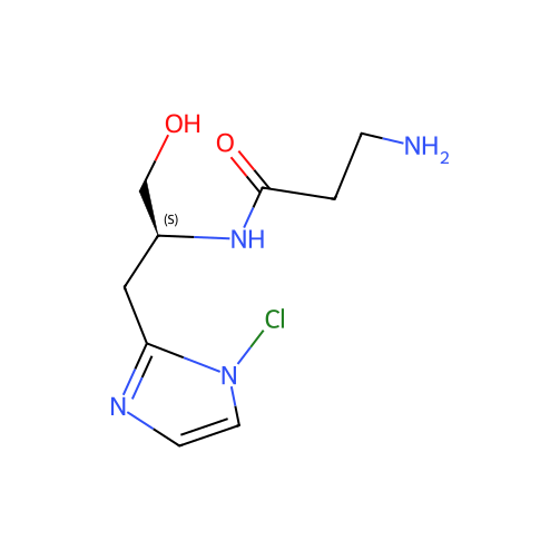 NCCC(=O)N[C@H](CO)Cc1nccn1Cl